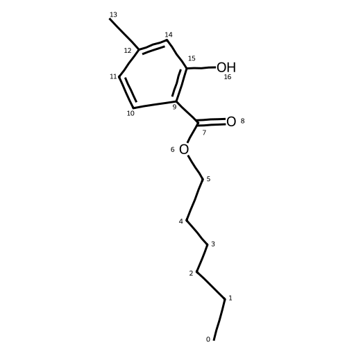 CCCCCCOC(=O)c1ccc(C)cc1O